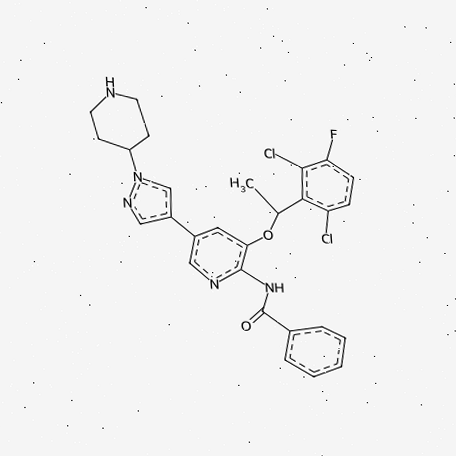 CC(Oc1cc(-c2cnn(C3CCNCC3)c2)cnc1NC(=O)c1ccccc1)c1c(Cl)ccc(F)c1Cl